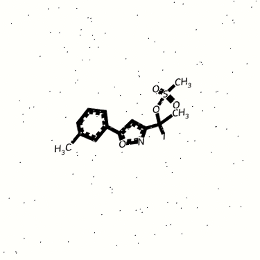 Cc1cccc(-c2cc(C(C)(I)OS(C)(=O)=O)no2)c1